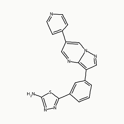 Nc1nnc(-c2cccc(-c3cnn4cc(-c5ccncc5)cnc34)c2)s1